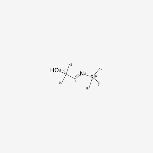 CC(C)(O)C=N[Si](C)(C)C